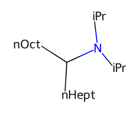 CCCCCCCCC(CCCCCCC)N(C(C)C)C(C)C